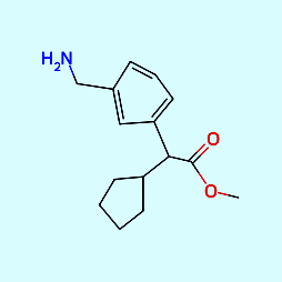 COC(=O)C(c1cccc(CN)c1)C1CCCC1